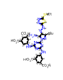 CCSc1nnc(/N=N/c2c(C(C)(C)C)nn(-c3nc(Nc4cc(C(=O)O)cc(C(=O)O)c4)nc(Nc4cc(C(=O)O)cc(C(=O)O)c4)n3)c2N)s1